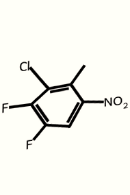 Cc1c([N+](=O)[O-])cc(F)c(F)c1Cl